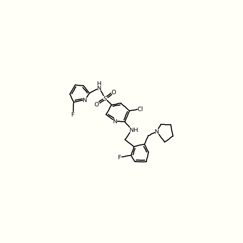 O=S(=O)(Nc1cccc(F)n1)c1cnc(NCc2c(F)cccc2CN2CCCC2)c(Cl)c1